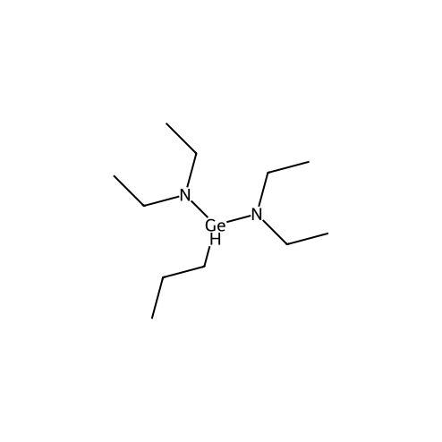 CC[CH2][GeH]([N](CC)CC)[N](CC)CC